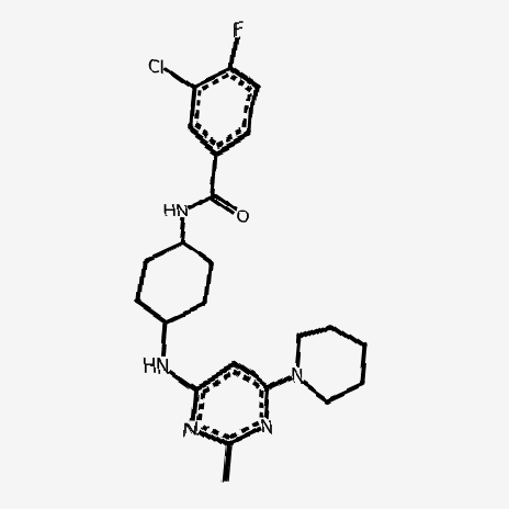 Cc1nc(NC2CCC(NC(=O)c3ccc(F)c(Cl)c3)CC2)cc(N2CCCCC2)n1